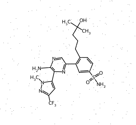 Cn1nc(C(F)(F)F)cc1-c1nc(-c2cc(S(N)(=O)=O)ccc2CCCC(C)(C)O)cnc1N